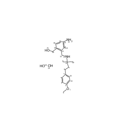 COc1ccc(CCC(C)(C)NCc2nc(N)ccc2CO)cc1.Cl.Cl